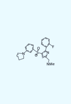 CNCc1nc(-c2ccccc2F)c(S(=O)(=O)c2cccc(N3CCCC3)c2)s1